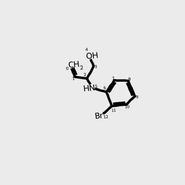 C=CC(CO)Nc1ccccc1Br